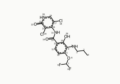 CCCNc1c(OC(F)F)ccc(C(=O)Nc2c(Cl)c[nH]c(=O)c2Cl)c1O